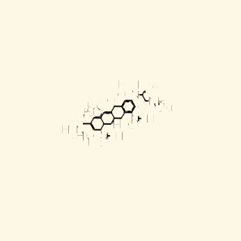 CC(C)C(Nc1cc(N(C)C)c2c(c1O)C(=O)C1=C(O)C3(O)C(=O)C(C(N)=O)=C(O)C(N(C)C)C3CC1C2)C(=O)NC(C)(C)C